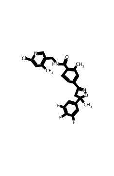 Cc1cc(C2=NOC(C)(c3cc(F)c(F)c(F)c3)C2)ccc1C(=O)NCc1cnc(Cl)cc1C(F)(F)F